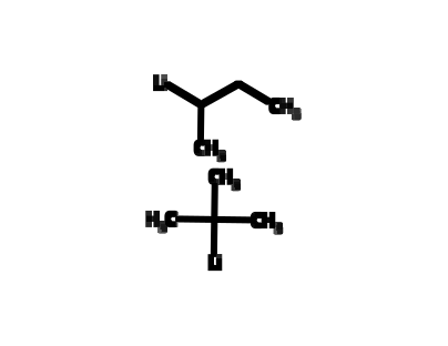 [Li][CH](C)CC.[Li][C](C)(C)C